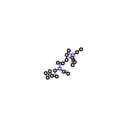 c1ccc(-c2ccc(-c3nc(-c4ccc5c(c4)oc4ccccc45)nc(-n4c5ccccc5c5ccc6c7cc(-c8ccc9c(c8)c8ccccc8n9-c8nc(-c9cccc(-n%10c%11ccccc%11c%11ccc%12c(c%11%10)-c%10ccccc%10C%12%10c%11ccccc%11-c%11ccccc%11%10)c9)nc(-c9ccc%10c(c9)sc9ccccc9%10)n8)ccc7n(-c7cccc(-c8ccccc8)c7)c6c54)n3)cc2)cc1